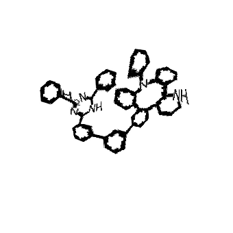 NC(N/C(=N\Cc1ccccc1)c1cccc(-c2cccc(-c3ccc4c5c(c6ccccc6n(-c6ccccc6)c6ccccc6c4c3)NCC=C5)c2)c1)c1ccccc1